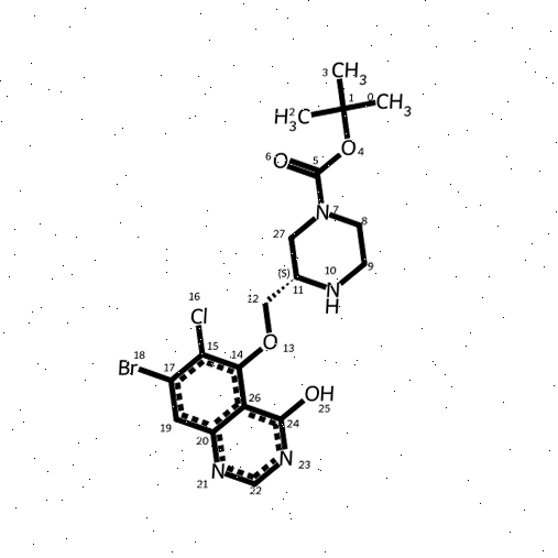 CC(C)(C)OC(=O)N1CCN[C@H](COc2c(Cl)c(Br)cc3ncnc(O)c23)C1